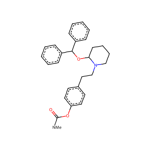 CNC(=O)Oc1ccc(CCN2CCCCC2OC(c2ccccc2)c2ccccc2)cc1